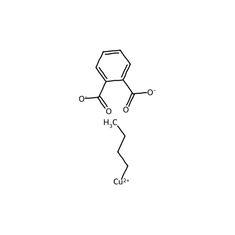 CCC[CH2][Cu+2].O=C([O-])c1ccccc1C(=O)[O-]